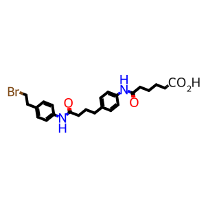 O=C(O)CCCCC(=O)Nc1ccc(CCCC(=O)Nc2ccc(CCBr)cc2)cc1